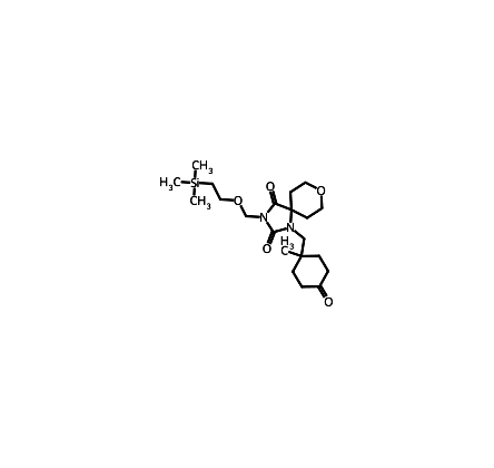 CC1(CN2C(=O)N(COCC[Si](C)(C)C)C(=O)C23CCOCC3)CCC(=O)CC1